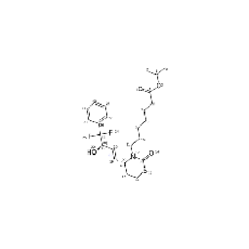 CC(C)OC(=O)CCCCCCN1C(=O)SCC[C@@H]1/C=C/[C@@H](O)C(F)(F)c1ccccc1